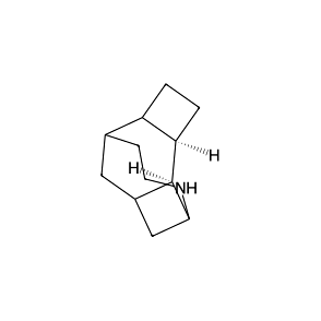 C1CC2CC3CC(N1)[C@@H]3[C@@H]1CCC21